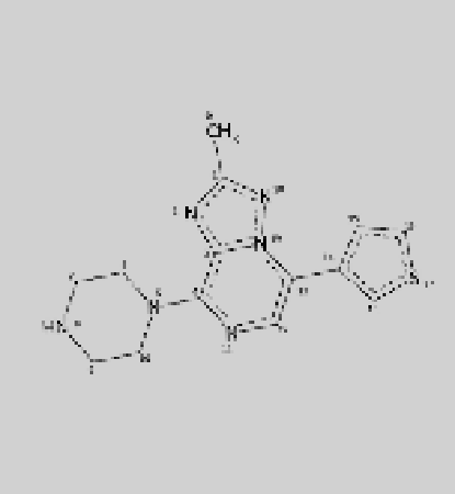 Cc1nc2c(N3CCNCC3)ncc(-c3ccsc3)n2n1